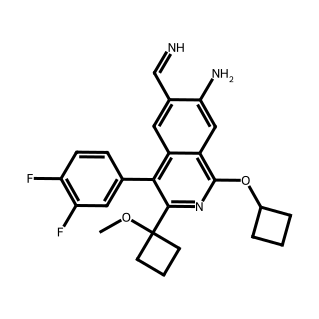 COC1(c2nc(OC3CCC3)c3cc(N)c(C=N)cc3c2-c2ccc(F)c(F)c2)CCC1